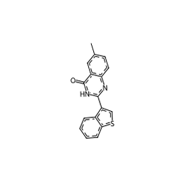 Cc1ccc2nc(-c3csc4ccccc34)[nH]c(=O)c2c1